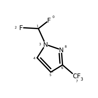 FC(F)n1c[c]c(C(F)(F)F)n1